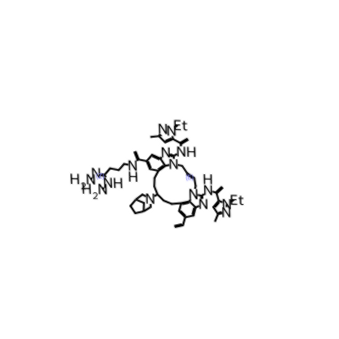 C=Cc1cc2c3c(c1)nc(NC(=C)c1cc(C)nn1CC)n3C/C=C/Cn1c(NC(=C)c3cc(C)nn3CC)nc3cc(C(=C)NCCC/C(=N/N)NN)cc(c31)CCC(N1CC3CCC(C3)C1)CC2